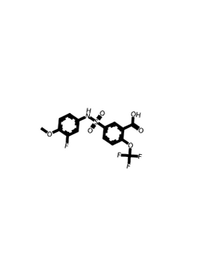 COc1ccc(NS(=O)(=O)c2ccc(OC(F)(F)F)c(C(=O)O)c2)cc1F